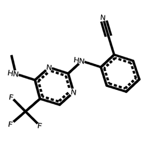 CNc1nc(Nc2ccccc2C#N)ncc1C(F)(F)F